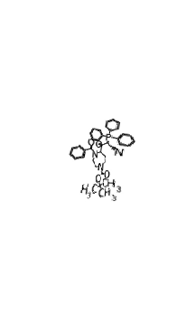 CC(C)(C)OC(=O)N1CCC(C(=O)C(C#N)=P(c2ccccc2)(c2ccccc2)c2ccccc2)N(C(=O)c2ccccc2)CC1